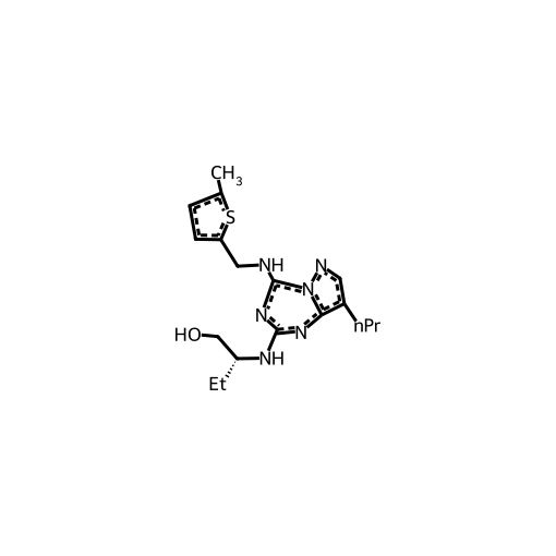 CCCc1cnn2c(NCc3ccc(C)s3)nc(N[C@H](CC)CO)nc12